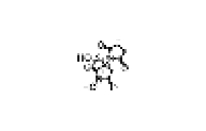 O=C1CC(N2C(=O)CCC2=O)(S(=O)(=O)O)C(=O)N1O